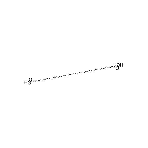 O=C(O)C=CCCCCCCCCCCCCCCCCCCCCCCCCCCCCCCCCCCCCCCCCCCCCCCCCCCC(=O)O